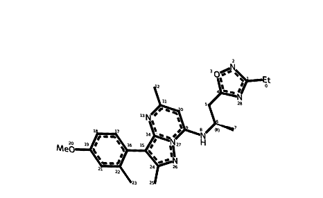 CCc1noc(C[C@@H](C)Nc2cc(C)nc3c(-c4ccc(OC)cc4C)c(C)nn23)n1